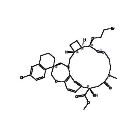 COC(=O)[C@@]1(O)CC(=O)N(C)CC/C=C/[C@H](OCCBr)[C@@H]2CC[C@H]2CN2C[C@@]3(CCCc4cc(Cl)ccc43)COc3ccc1cc32